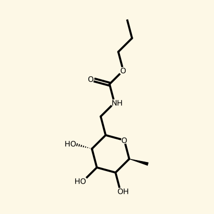 CCCOC(=O)NCC1O[C@@H](C)C(O)C(O)[C@@H]1O